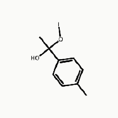 Cc1ccc(C(C)(O)OI)cc1